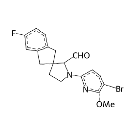 COc1nc(N2CCC3(Cc4ccc(F)cc4C3)C2C=O)ccc1Br